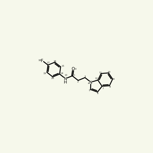 O=C(CCn1ccc2ccccc21)Nc1ccc(F)cc1